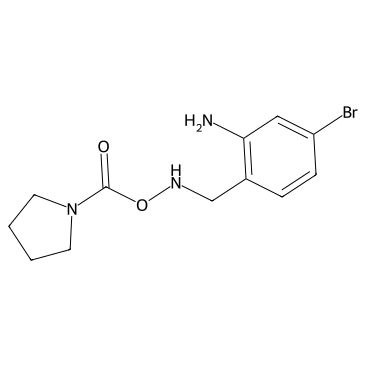 Nc1cc(Br)ccc1CNOC(=O)N1CCCC1